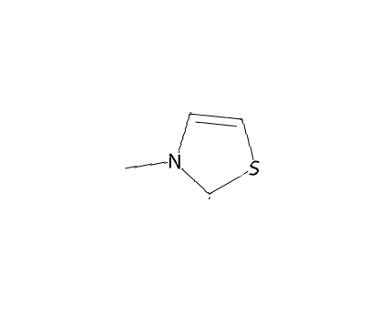 CN1[CH]SC=C1